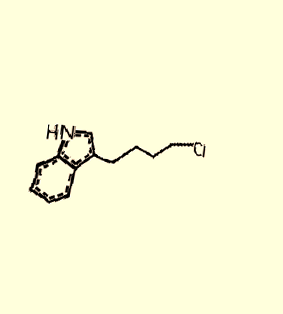 ClCCCCc1c[nH]c2ccccc12